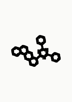 c1ccc(-c2nc(-c3ccccc3)nc(-c3cccc4cc5c(ccc6ccccc65)cc34)n2)cc1